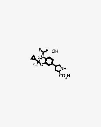 Cl.[2H]C([2H])(Oc1cc(C2CN[C@@H](C(=O)O)C2)ccc1OC(F)F)C1CC1